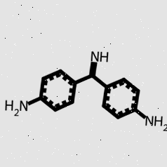 N=C(c1ccc(N)cc1)c1ccc(N)cc1